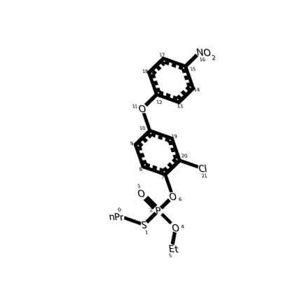 CCCSP(=O)(OCC)Oc1ccc(Oc2ccc([N+](=O)[O-])cc2)cc1Cl